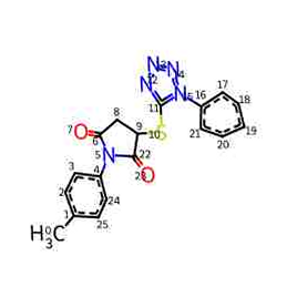 Cc1ccc(N2C(=O)CC(Sc3nnnn3-c3ccccc3)C2=O)cc1